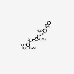 COc1ccc(/C=C/C(=O)c2cc(C)c(C)c(OC)c2)cc1OCCOc1ccc(-c2nc3ccccc3s2)cc1C